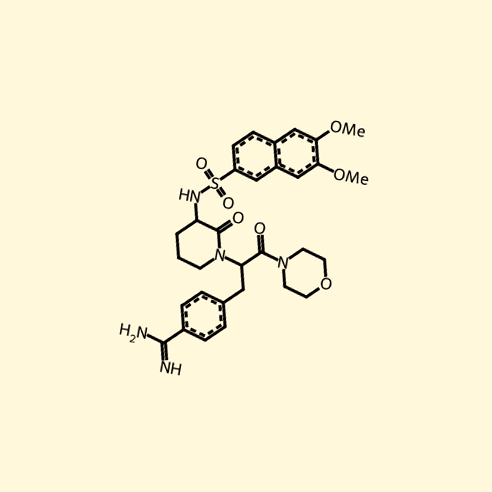 COc1cc2ccc(S(=O)(=O)NC3CCCN(C(Cc4ccc(C(=N)N)cc4)C(=O)N4CCOCC4)C3=O)cc2cc1OC